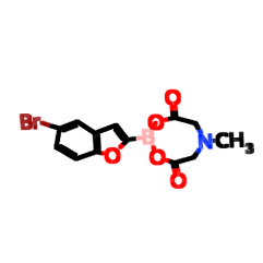 CN1CC(=O)OB(c2cc3cc(Br)ccc3o2)OC(=O)C1